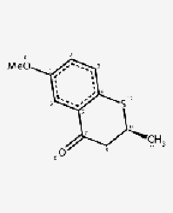 COc1ccc2c(c1)C(=O)C[C@H](C)S2